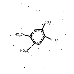 O=C(O)c1cc(S(=O)(=O)O)c(C(=O)O)cc1S(=O)(=O)O